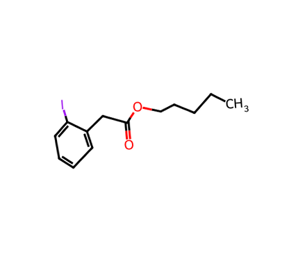 CCCCCOC(=O)Cc1ccccc1I